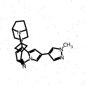 Cn1cc(-c2cc3c(N4CC5CCC(C4)N5C4CC(C#N)C4)ccnn3c2)cn1